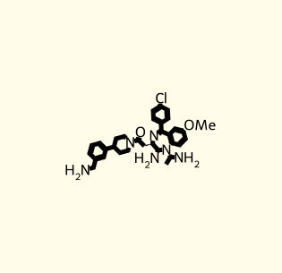 COc1ccc2c(c1)C(c1ccc(Cl)cc1)=N[C@@H](CC(=O)N1CCC(c3cccc(CN)c3)CC1)C(N)N2C(C)N